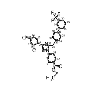 CCOC(=O)c1ccc(-n2cc(-c3ccc(Cl)cc3Cl)nc2Cc2ccc(-c3cccc(C(F)(F)F)c3)cc2)cc1